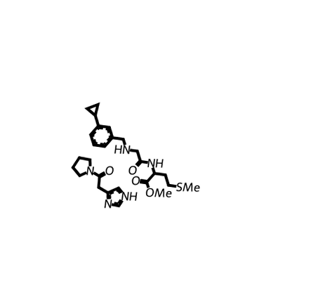 COC(=O)C(CCSC)NC(=O)CNCc1cccc(C2CC2)c1.O=C(Cc1c[nH]cn1)N1CCCC1